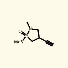 C#CC1CN(C)P(=O)(SC)C1